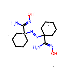 NC(=NO)C1(N=NC2(C(N)=NO)CCCCC2)CCCCC1